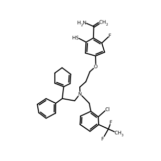 C=C(N)c1c(F)cc(OCCCN(Cc2cccc(C(C)(F)F)c2Cl)CC(C2=CCCC=C2)c2ccccc2)cc1S